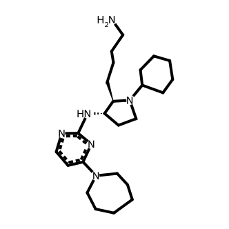 NCCCC[C@@H]1[C@@H](Nc2nccc(N3CCCCCC3)n2)CCN1C1CCCCC1